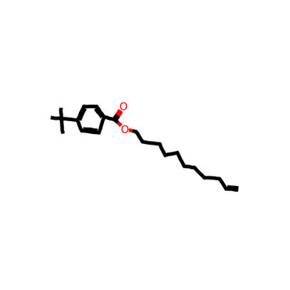 C=CCCCCCCCCCOC(=O)c1ccc(C(C)(C)C)cc1